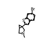 CN1CC2CC2(c2cc3ccc(Br)cc3s2)C1